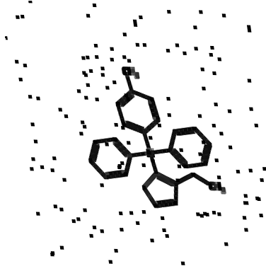 CCC1=C([Si](c2ccccc2)(c2ccccc2)c2ccc(C)cc2)CC=C1